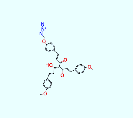 COc1ccc(/C=C/C(=O)/C(C(=O)/C=C/c2ccc(OCN=[N+]=[N-])cc2)=C(O)\C=C\c2ccc(OC)cc2)cc1